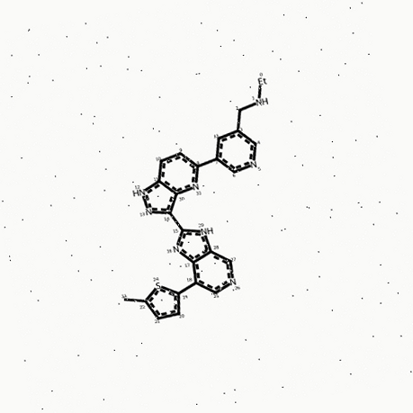 CCNCc1cncc(-c2ccc3[nH]nc(-c4nc5c(-c6ccc(C)s6)cncc5[nH]4)c3n2)c1